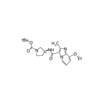 CCOc1cccn2c(C(=O)N[C@H]3CCN(C(=O)OC(C)(C)C)C3)c(C)nc12